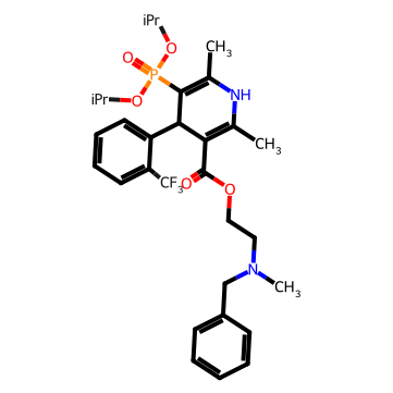 CC1=C(C(=O)OCCN(C)Cc2ccccc2)C(c2ccccc2C(F)(F)F)C(P(=O)(OC(C)C)OC(C)C)=C(C)N1